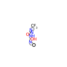 O=C(NC[C@H](O)CN1CCc2ccccc2C1)c1cn2c(n1)CC[C@@H](C(F)(F)F)C2